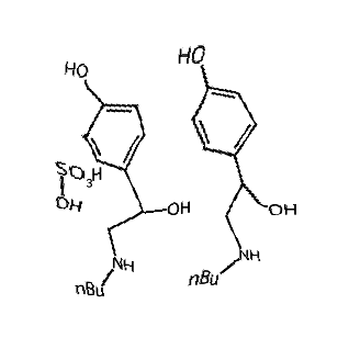 CCCCNCC(O)c1ccc(O)cc1.CCCCNCC(O)c1ccc(O)cc1.O=S(=O)(O)O